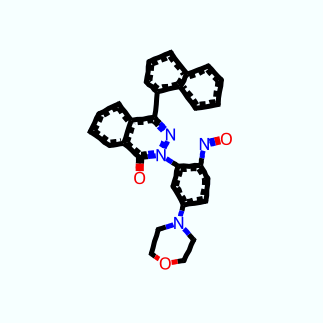 O=Nc1ccc(N2CCOCC2)cc1-n1nc(-c2cccc3ccccc23)c2ccccc2c1=O